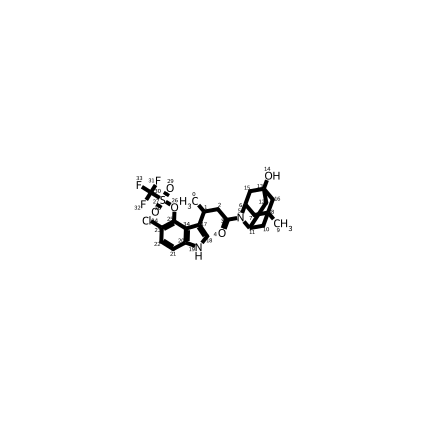 CC(CC(=O)N1C2CC3(C)CC1CC(O)(C2)C3)c1c[nH]c2ccc(Cl)c(OS(=O)(=O)C(F)(F)F)c12